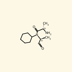 C[C@H](N)C(=O)N(C1CCCCC1)[C@@H](C)[C]=O